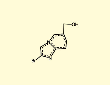 OCc1ccc2nc(Br)cn2c1